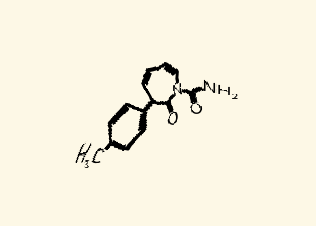 Cc1ccc(C2C=CC=CN(C(N)=O)C2=O)cc1